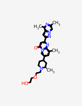 Cc1cn2nc(-c3cc(=O)n4cc(C5CCN(CCOCCO)[C@H](C)C5)cc(C)c4n3)cc2c(C)n1